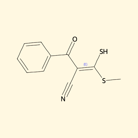 CS/C(S)=C(\C#N)C(=O)c1ccccc1